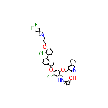 N#Cc1cncc(COc2cc(O[C@H]3CCc4c(-c5cccc(OCCCN6CC7(C6)CC(F)(F)C7)c5Cl)cccc43)c(Cl)cc2CN[C@@H]2CC[C@H]2O)c1